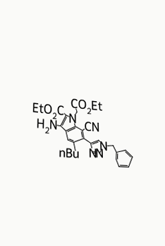 CCCCc1cc2c(N)c(C(=O)OCC)n(CC(=O)OCC)c2c(C#N)c1-c1cn(Cc2ccccc2)nn1